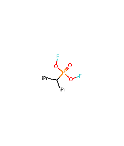 CC(C)C(C(C)C)P(=O)(OF)OF